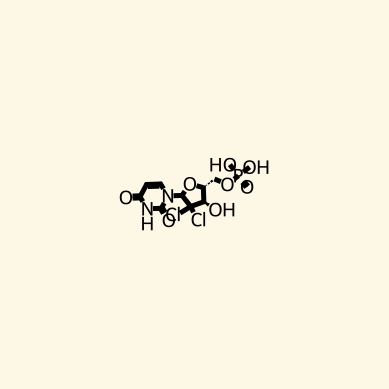 O=c1ccn(C2O[C@H](COP(=O)(O)O)[C@@H](O)C2(Cl)Cl)c(=O)[nH]1